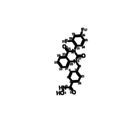 O=C(NO)c1ccc(Cn2c(=O)n(-c3ccc(F)cc3F)c(=O)c3ccccc32)cc1